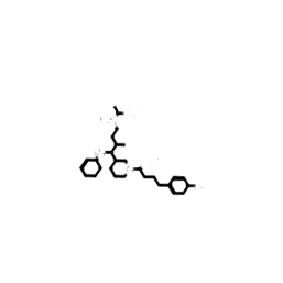 CC(O)NCCC(C)C(NC1C=CCCC1)C1CCCN(C(O)CCCC2=CCC(Br)C=C2)C1